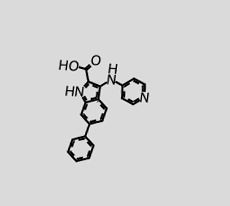 O=C(O)c1[nH]c2cc(-c3ccccc3)ccc2c1Nc1ccncc1